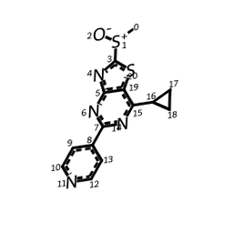 C[S+]([O-])c1nc2nc(-c3ccncc3)nc(C3CC3)c2s1